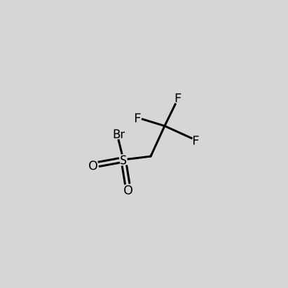 O=S(=O)(Br)CC(F)(F)F